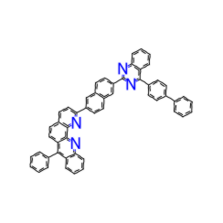 c1ccc(-c2ccc(-c3nc(-c4ccc5cc(-c6ccc7ccc8c(-c9ccccc9)c9ccccc9nc8c7n6)ccc5c4)nc4ccccc34)cc2)cc1